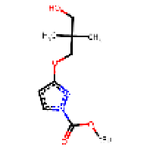 CC(C)(CO)COc1ccn(C(=O)OC(C)(C)C)n1